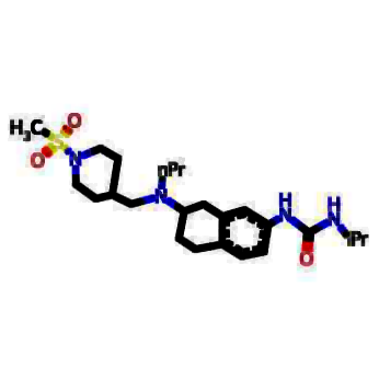 CCCN(CC1CCN(S(C)(=O)=O)CC1)C1CCc2ccc(NC(=O)NC(C)C)cc2C1